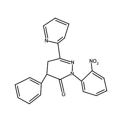 O=C1C(c2ccccc2)CC(c2ccccn2)=NN1c1ccccc1[N+](=O)[O-]